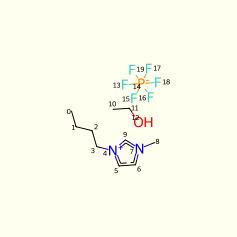 CCCC[n+]1ccn(C)c1.CCO.F[P-](F)(F)(F)(F)F